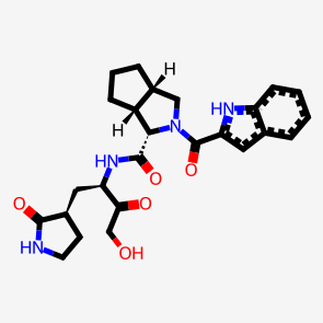 O=C1NCC[C@@H]1C[C@@H](NC(=O)[C@@H]1[C@@H]2CCC[C@@H]2CN1C(=O)c1cc2ccccc2[nH]1)C(=O)CO